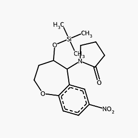 C[Si](C)(C)OC1CCOc2ccc([N+](=O)[O-])cc2C1N1CCCC1=O